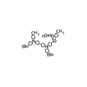 CCCCCCCCCCOc1cc(C)ccc1-c1ccc(-c2ccc(N(c3ccc(-c4ccc(N(c5ccc(C)cc5)c5ccc(C(C)(C)C)cc5)cc4)cc3)c3ccc(C(C)(C)C)cc3)cc2)s1